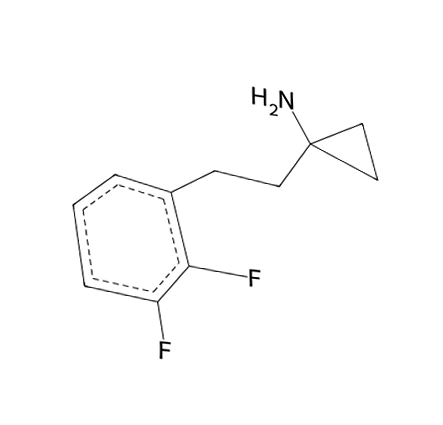 NC1(CCc2cccc(F)c2F)CC1